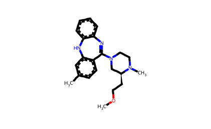 COCC[C@H]1CN(C2=Nc3ccccc3Nc3cc(C)ccc32)CCN1C